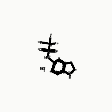 Cl.O=S(=O)(Nc1ccc2c(c1)CCN2)C(F)(F)F